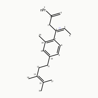 C=C(CCC)C/C(=C/C)c1ccc(CCC(C)=C(C)C)cc1C